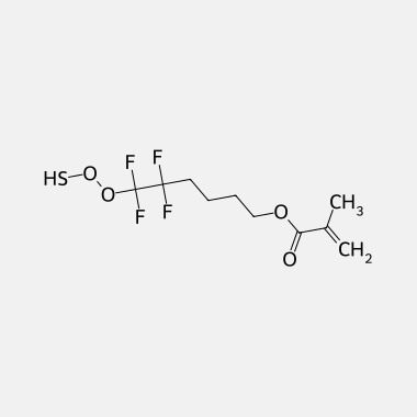 C=C(C)C(=O)OCCCCC(F)(F)C(F)(F)OOS